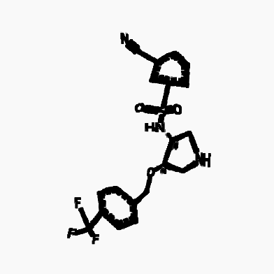 N#Cc1cccc(S(=O)(=O)N[C@@H]2CNC[C@H]2OCc2ccc(C(F)(F)F)cc2)c1